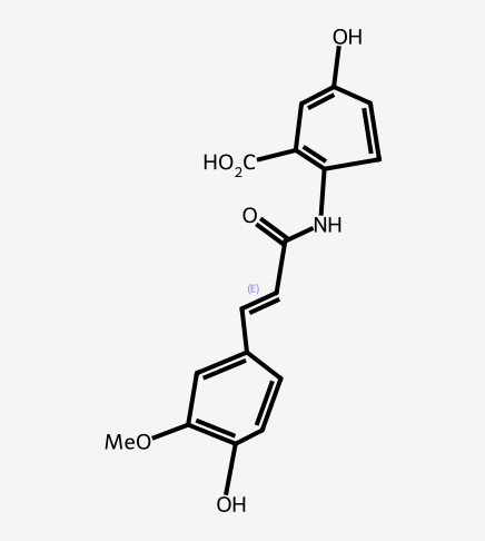 COc1cc(/C=C/C(=O)Nc2ccc(O)cc2C(=O)O)ccc1O